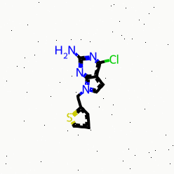 Nc1nc(Cl)c2ccn(Cc3cccs3)c2n1